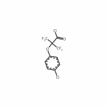 O=C(Cl)C(Oc1ccc(Cl)cc1)(C(F)(F)F)C(F)(F)F